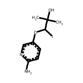 CC(C)(O)C(I)Oc1ccc(N)nc1